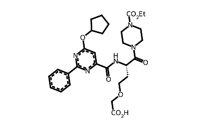 CCOC(=O)N1CCN(C(=O)[C@H](CCOCC(=O)O)NC(=O)c2cc(OC3CCCC3)nc(-c3ccccc3)n2)CC1